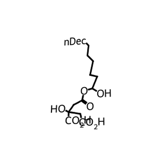 CCCCCCCCCCCCCCCC(O)OC(=O)CC(O)(CC(=O)O)C(=O)O